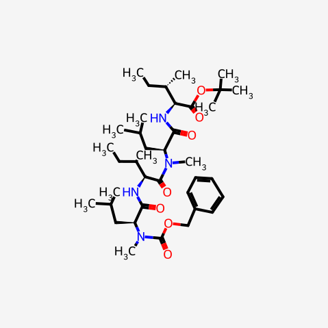 CC[C@H](C)[C@H](NC(=O)[C@H](CC(C)C)N(C)C(=O)[C@@H](NC(=O)[C@H](CC(C)C)N(C)C(=O)OCc1ccccc1)[C@@H](C)CC)C(=O)OC(C)(C)C